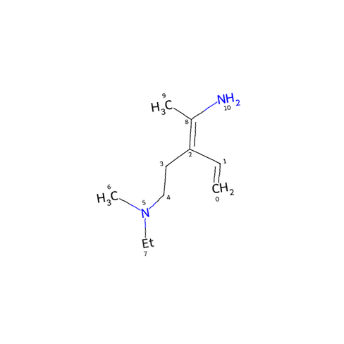 C=C/C(CCN(C)CC)=C(/C)N